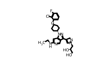 CCNc1cc2c(cn1)c(-c1cnn(C[C@@H](O)CO)c1)nn2[C@H]1CC[C@@H](Oc2cccc(F)c2Cl)CC1